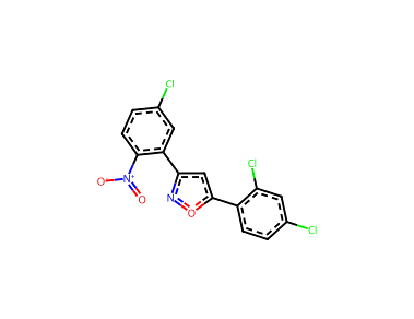 O=[N+]([O-])c1ccc(Cl)cc1-c1cc(-c2ccc(Cl)cc2Cl)on1